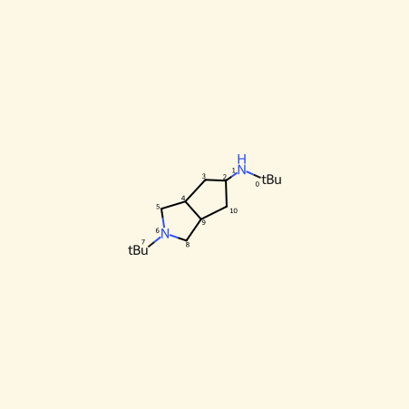 CC(C)(C)NC1CC2CN(C(C)(C)C)CC2C1